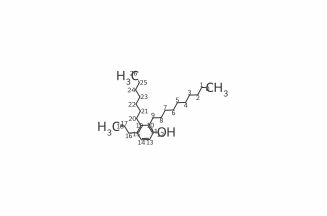 CCCCCCCCCCc1c(O)ccc(CCC)c1CCCCCCC